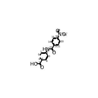 C/C=C(\C=C/C(C)C(=O)O)NC(=O)c1ccc([N+](=O)[O-])cc1